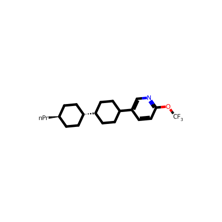 CCC[C@H]1CC[C@H](C2CCC(c3ccc(OC(F)(F)F)nc3)CC2)CC1